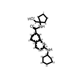 O=C(NC1(CO)CCCC1)c1ccc2cnc(NC3CCCCC3)nc2c1